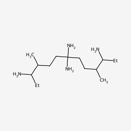 CCC(N)C(C)CCC(N)(N)CCC(C)C(N)CC